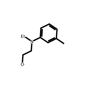 CCN(CC[O])c1cccc(C)c1